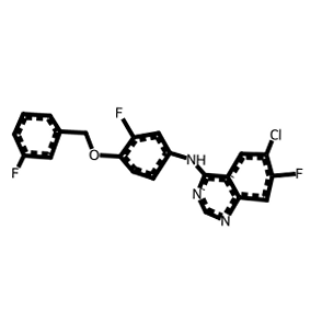 Fc1cccc(COc2ccc(Nc3ncnc4cc(F)c(Cl)cc34)cc2F)c1